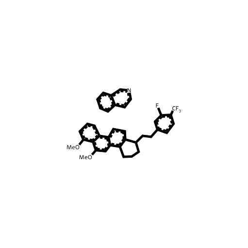 COc1cccc2c1c(OC)cc1c3c(ccc12)C(CCc1ccc(C(F)(F)F)c(F)c1)CCC3.c1ccc2cnccc2c1